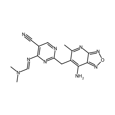 Cc1nc2nonc2c(N)c1Cc1ncc(C#N)c(N=CN(C)C)n1